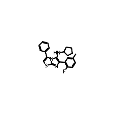 Cc1ccc(F)c(-c2nc3scc(-c4ccccc4)n3c2NC2CCCC2)c1